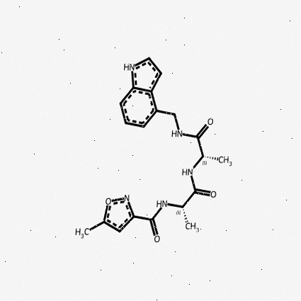 Cc1cc(C(=O)N[C@@H](C)C(=O)N[C@@H](C)C(=O)NCc2cccc3[nH]ccc23)no1